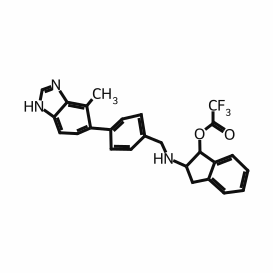 Cc1c(-c2ccc(CNC3Cc4ccccc4C3OC(=O)C(F)(F)F)cc2)ccc2[nH]cnc12